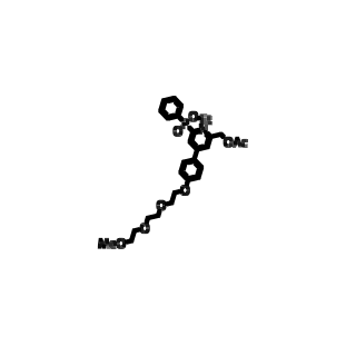 CCOP(=O)(c1ccccc1)c1cc(-c2ccc(OCCOCCOCCOC)cc2)cc(COC(C)=O)n1